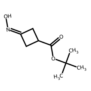 CC(C)(C)OC(=O)C1CC(=NO)C1